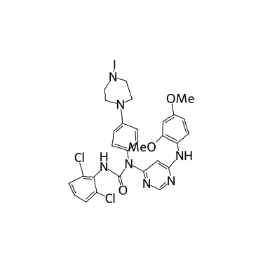 COc1ccc(Nc2cc(N(C(=O)Nc3c(Cl)cccc3Cl)c3ccc(N4CCN(I)CC4)cc3)ncn2)c(OC)c1